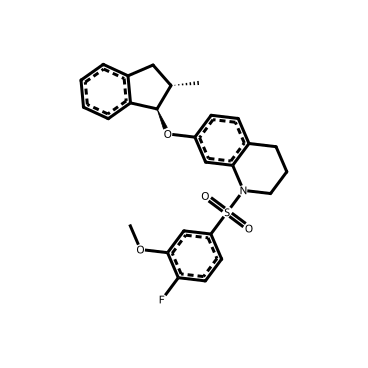 COc1cc(S(=O)(=O)N2CCCc3ccc(O[C@H]4c5ccccc5C[C@@H]4C)cc32)ccc1F